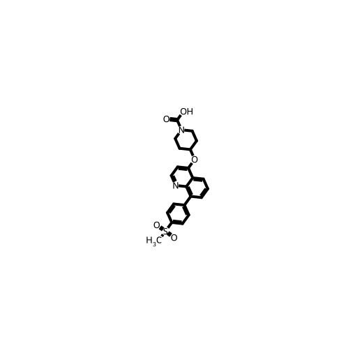 CS(=O)(=O)c1ccc(-c2cccc3c(OC4CCN(C(=O)O)CC4)ccnc23)cc1